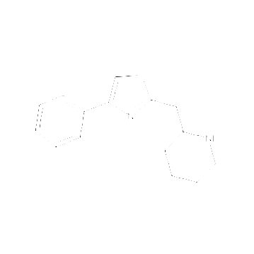 c1ccc(-c2csc(CC3CCCCN3)n2)cc1